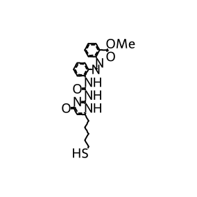 COC(=O)c1ccccc1/N=N\c1ccccc1NC(=O)Nc1nc(=O)cc(CCCCCS)[nH]1